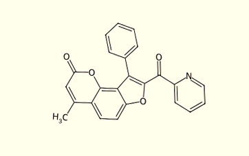 Cc1cc(=O)oc2c1ccc1oc(C(=O)c3ccccn3)c(-c3ccccc3)c12